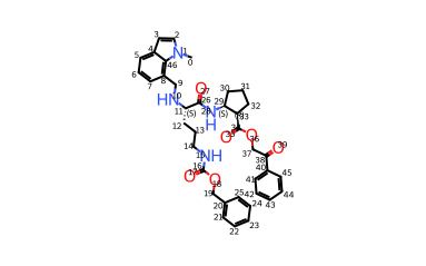 Cn1ccc2cccc(CN[C@@H](CCCNC(=O)OCc3ccccc3)C(=O)N[C@H]3CCC[C@H]3C(=O)OCC(=O)c3ccccc3)c21